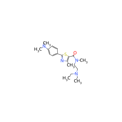 CCN(CC)CCN(C)C(=O)c1sc(-c2ccc(N(C)C)cc2)nc1C